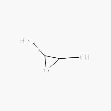 [CH2]C1OC1C